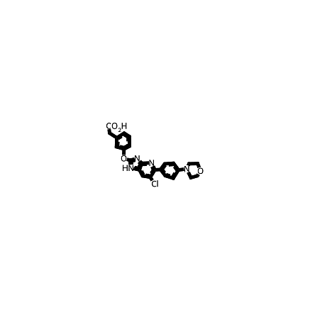 O=C(O)Cc1cccc(Oc2nc3nc(-c4ccc(N5CCOCC5)cc4)c(Cl)cc3[nH]2)c1